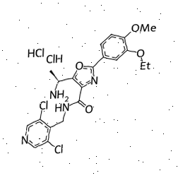 CCOc1cc(-c2nc(C(=O)NCc3c(Cl)cncc3Cl)c([C@H](C)N)o2)ccc1OC.Cl.Cl